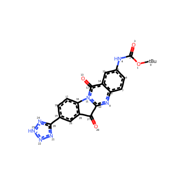 CC(C)(C)OC(=O)Nc1ccc2nc3n(c(=O)c2c1)-c1ccc(-c2nn[nH]n2)cc1C3=O